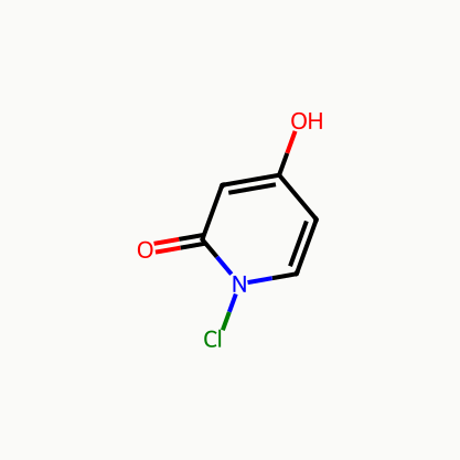 O=c1cc(O)ccn1Cl